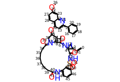 C=C[C@@H]1C[C@@]12NC(=O)[C@@H]1C[C@@H](Oc3cc(-c4ccccc4)nc4cc(OC)ccc34)CN1C(=O)CCCCCCC(=O)Nc1ccccc1S(=O)(=O)NC2=O